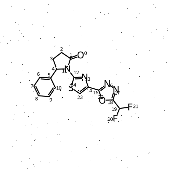 O=C1CCC(c2ccccc2)N1c1nc(-c2nnc(C(F)F)o2)cs1